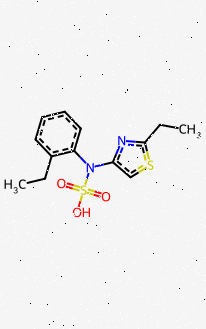 CCc1nc(N(c2ccccc2CC)S(=O)(=O)O)cs1